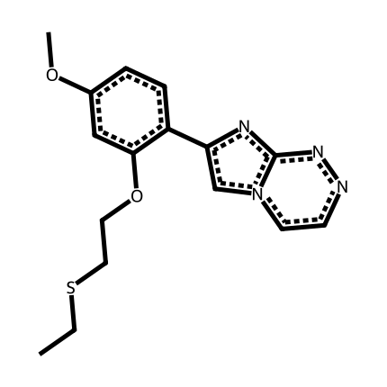 CCSCCOc1cc(OC)ccc1-c1cn2ccnnc2n1